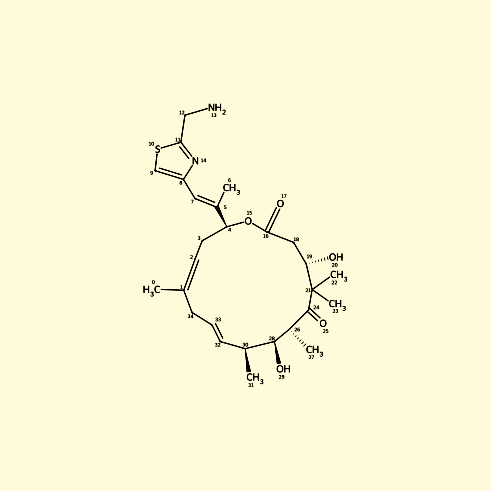 C/C1=C/C[C@@H](/C(C)=C/c2csc(CN)n2)OC(=O)C[C@H](O)C(C)(C)C(=O)[C@H](C)[C@@H](O)[C@@H](C)/C=C/C1